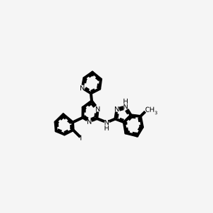 Cc1cccc2c(Nc3nc(-c4ccccn4)cc(-c4ccccc4I)n3)n[nH]c12